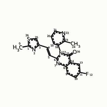 Cc1nc(/C=C/c2nc3ccc(F)cc3c(=O)n2-c2cccnc2C)cs1